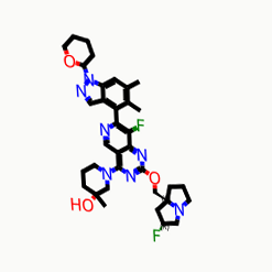 Cc1cc2c(cnn2C2CCCCO2)c(-c2ncc3c(N4CCCC(C)(O)C4)nc(OC[C@@]45CCCN4C[C@H](F)C5)nc3c2F)c1C